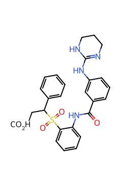 O=C(O)CC(c1ccccc1)S(=O)(=O)c1ccccc1NC(=O)c1cccc(NC2=NCCCN2)c1